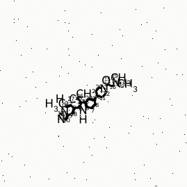 Cc1cc(-c2[nH]c3ccc(C4CCN(C(=O)CN(C)C)CC4)cc3c2C(C)C)cc2cncn12